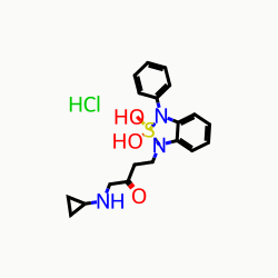 Cl.O=C(CCN1c2ccccc2N(c2ccccc2)S1(O)O)CNC1CC1